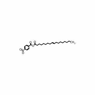 CCCCCCCCC=CCCCCCCCC(=O)OC(=O)c1ccc([N+](=O)[O-])cc1